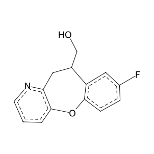 OCC1Cc2ncccc2Oc2ccc(F)cc21